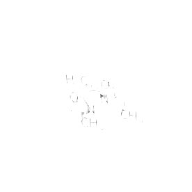 CCC1COC(C(C)C2=NC(C)CO2)=N1